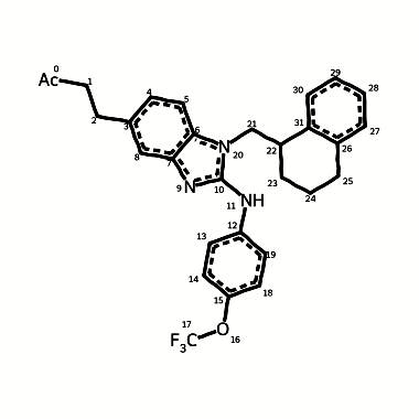 CC(=O)CCc1ccc2c(c1)nc(Nc1ccc(OC(F)(F)F)cc1)n2CC1CCCc2ccccc21